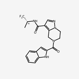 C[C@@H](NC(=O)c1cnn2c1CN(C(=O)c1cc3ccccc3[nH]1)CC2)C(F)(F)F